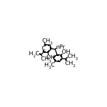 C=C(C)c1cc(C)cc(C(CCC)c2cc(C)cc(C(=C)C)c2O)c1O